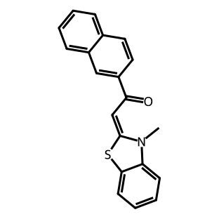 CN1/C(=C\C(=O)c2ccc3ccccc3c2)Sc2ccccc21